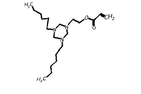 C=CC(=O)OCCN1CN(CCCCCC)CN(CCCCCC)C1